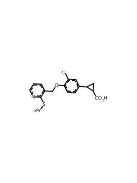 CCCSc1ncccc1COc1ccc(C2CC2C(=O)O)cc1Cl